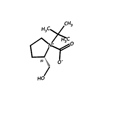 CC(C)(C)[N+]1(C(=O)[O-])CCC[C@H]1CO